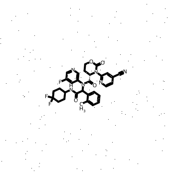 Cc1ccccc1C(C(=O)NC1CCC(F)(F)CC1)N(C(=O)[C@@H]1CCOC(=O)N1c1cc(C#N)ccn1)c1cncc(F)c1